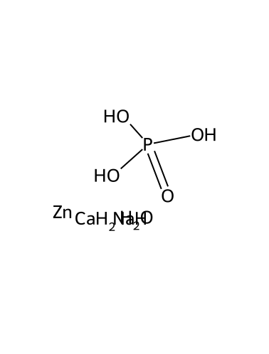 O.O=P(O)(O)O.[CaH2].[NaH].[Zn]